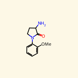 COc1ccccc1N1CCC(N)C1=O